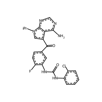 CC(C)n1cc(C(=O)c2ccc(F)c(NC(=O)Nc3ccccc3Cl)c2)c2c(N)ncnc21